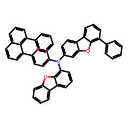 c1ccc(-c2cccc3c2oc2cc(N(c4ccc(-c5cccc6cccc(-c7ccccc7)c56)cc4)c4cccc5c4oc4ccccc45)ccc23)cc1